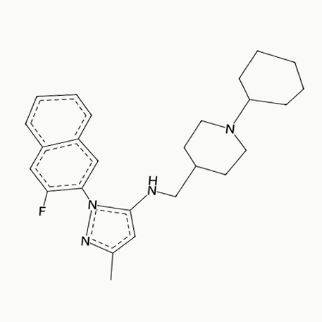 Cc1cc(NCC2CCN(C3CCCCC3)CC2)n(-c2cc3ccccc3cc2F)n1